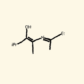 CC/C(C)=N/C(C)=C(\O)C(C)C